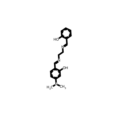 CN(C)c1ccc(C=NCCN=Cc2ccccc2O)c(O)c1